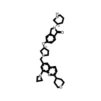 O=C1c2ccc(O[C@H]3CCN(Cc4cc(N5CCC5)c5nc(C6CCOCC6)ccc5c4)C3)cc2CN1[C@H]1CCCNC1